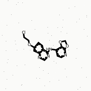 ClCCOc1ccc2c(Nc3ccnc4c3OCO4)ncnc2c1